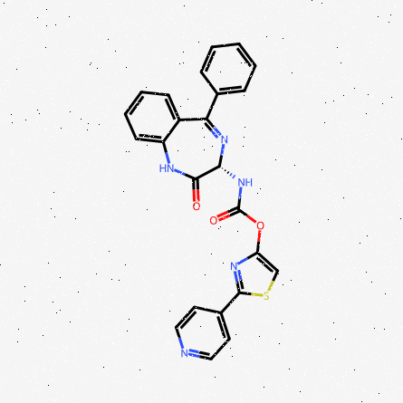 O=C(N[C@H]1N=C(c2ccccc2)c2ccccc2NC1=O)Oc1csc(-c2ccncc2)n1